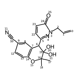 C=CCn1nc(C2c3cc(C#N)ccc3OC(C)(C)C2(O)O)ccc1=O